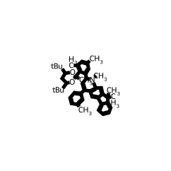 Cc1cccc(C2=CC(c3cc(C)cc(C)c3C3(C)OC(C(C)(C)C)CC(C(C)(C)C)O3)N(C)c3cc4c(cc32)-c2ccccc2C4(C)C)c1